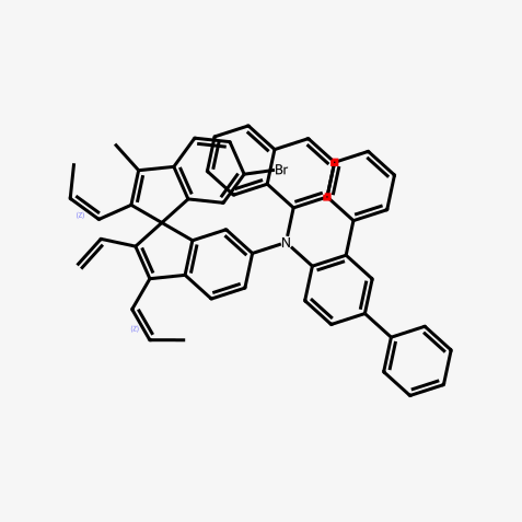 C=CC1=C(/C=C\C)c2ccc(N(c3ccc(-c4ccccc4)cc3-c3ccccc3)c3cccc4ccccc34)cc2C12C(/C=C\C)=C(C)c1ccc(Br)cc12